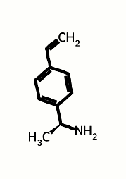 C=Cc1ccc([C@H](C)N)cc1